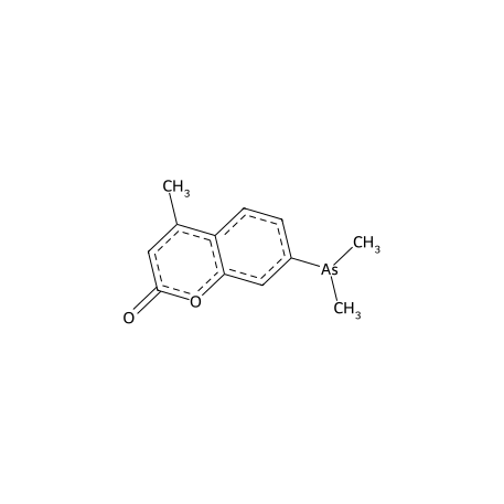 Cc1cc(=O)oc2cc([As](C)C)ccc12